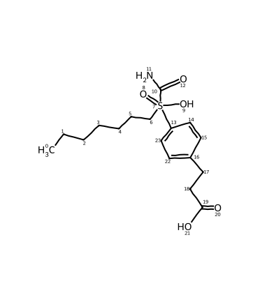 CCCCCCCS(=O)(O)(C(N)=O)c1ccc(CCC(=O)O)cc1